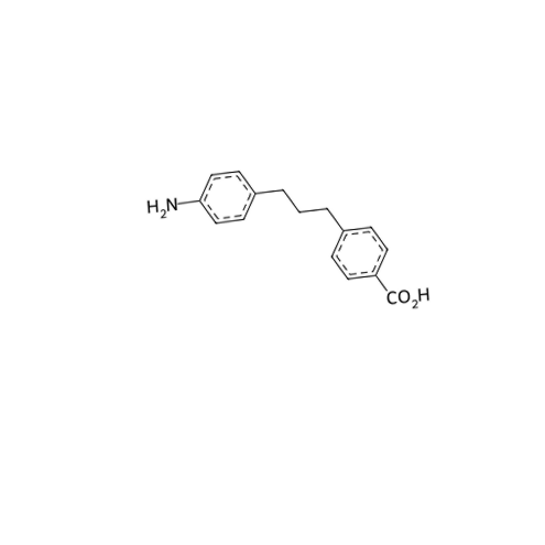 Nc1ccc(CCCc2ccc(C(=O)O)cc2)cc1